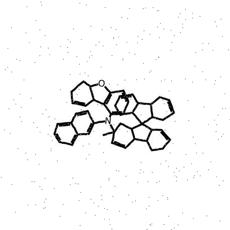 CC1(N(c2ccc3ccccc3c2)c2cccc3c2C2C=CCCC2O3)C=CC2C3CCC=CC3C3(C2C1)C1CCC=CC1C1CC=CCC13